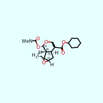 CNC(=O)O[C@@H]1OC=C(C(=O)OC2CCCCC2)[C@H]2C[C@@H]3O[C@]3(C)[C@H]12